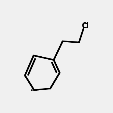 ClCCC1=CC[CH]C=C1